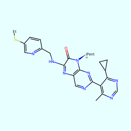 CCC[C@H](C)n1c(=O)c(NCc2ccc(SCC)cn2)nc2cnc(-c3c(C)ncnc3C3CC3)nc21